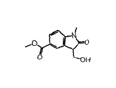 COC(=O)c1ccc2c(c1)C(CO)C(=O)N2C